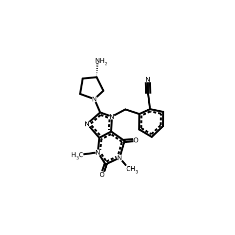 Cn1c(=O)c2c(nc(N3CC[C@H](N)C3)n2Cc2ccccc2C#N)n(C)c1=O